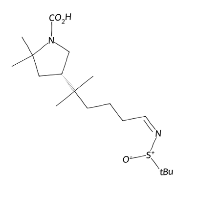 CC(C)(CCC/C=N\[S+]([O-])C(C)(C)C)[C@H]1CN(C(=O)O)C(C)(C)C1